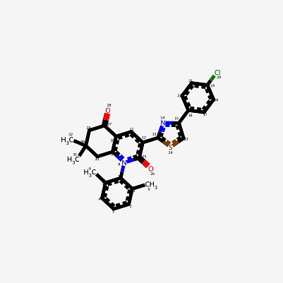 Cc1cccc(C)c1-n1c2c(cc(-c3nc(-c4ccc(Cl)cc4)cs3)c1=O)C(=O)CC(C)(C)C2